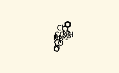 O=C(O)CC(CC1CC2CCC1C2)C(=O)NCc1nc(-c2ccccc2Cl)cs1